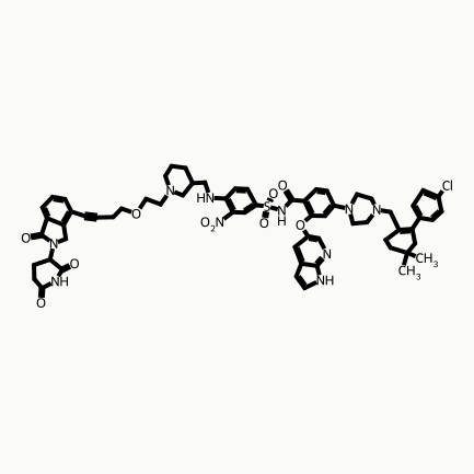 CC1(C)CCC(CN2CCN(c3ccc(C(=O)NS(=O)(=O)c4ccc(NCC5CCCN(CCOCCC#Cc6cccc7c6CN(C6CCC(=O)NC6=O)C7=O)C5)c([N+](=O)[O-])c4)c(Oc4cnc5[nH]ccc5c4)c3)CC2)=C(c2ccc(Cl)cc2)C1